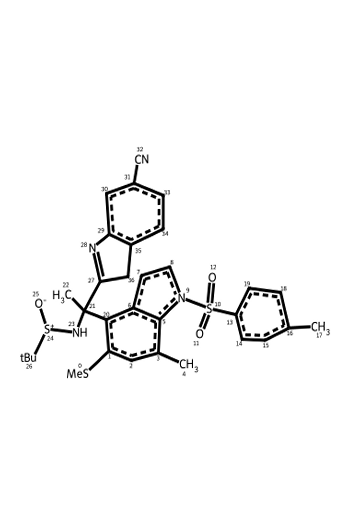 CSc1cc(C)c2c(ccn2S(=O)(=O)c2ccc(C)cc2)c1C(C)(N[S+]([O-])C(C)(C)C)C1=Nc2cc(C#N)ccc2C1